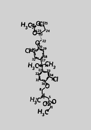 CCS(=O)(=O)C[C@H](C)COc1ccc(C(C)(C)c2ccc(OC[C@@H](CCl)OC(C)=O)c(Cl)c2)cc1Cl